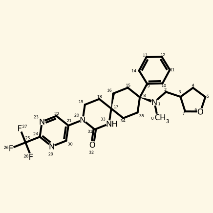 CN(CC1CCOC1)[C@]1(c2ccccc2)CC[C@@]2(CCN(c3cnc(C(F)(F)F)nc3)C(=O)N2)CC1